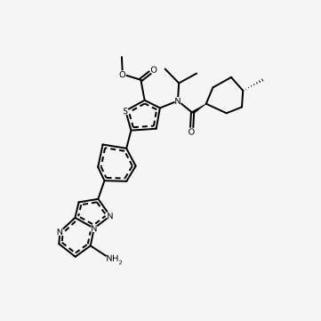 COC(=O)c1sc(-c2ccc(-c3cc4nccc(N)n4n3)cc2)cc1N(C(=O)[C@H]1CC[C@H](C)CC1)C(C)C